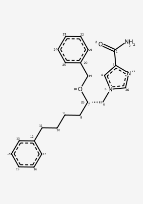 NC(=O)c1cn(C[C@H](CCCCc2ccccc2)OCc2ccccc2)cn1